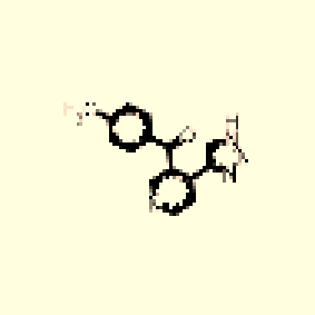 O=C(c1ccc(C(F)(F)F)cc1)c1cnccc1-c1c[nH]nn1